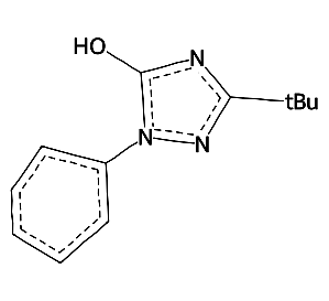 CC(C)(C)c1nc(O)n(-c2ccccc2)n1